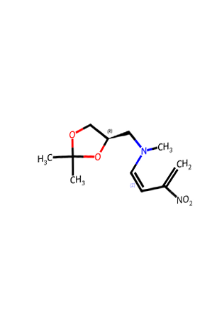 C=C(/C=C\N(C)C[C@@H]1COC(C)(C)O1)[N+](=O)[O-]